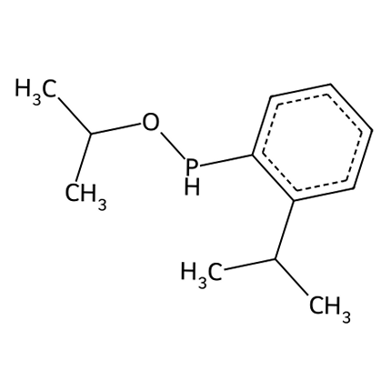 CC(C)OPc1ccccc1C(C)C